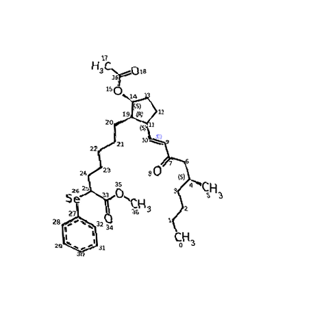 CCCC[C@H](C)CC(=O)/C=C/[C@@H]1CC[C@H](OC(C)=O)[C@@H]1CCCCCC([Se]c1ccccc1)C(=O)OC